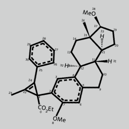 CCOC(=O)C1(c2cc3c(cc2OC)CC[C@@H]2[C@@H]3CC[C@]3(C)[C@@H](OC)CC[C@@H]23)C(C)=C1c1ccccc1